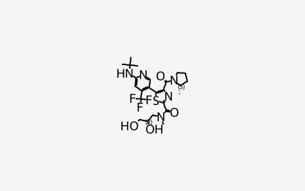 C[C@H]1CCCN1C(=O)c1nc(C(=O)N(C)C[C@@H](O)CO)sc1-c1cnc(NC(C)(C)C)cc1C(F)(F)F